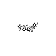 O=C(c1ccc(-c2ccc(Nc3nc4cc(F)ccc4s3)c(F)c2)cc1)C1CCC[C@H]1C(=O)O